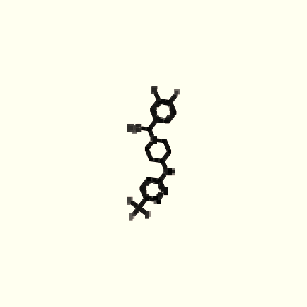 CC(c1ccc(F)c(F)c1)N1CCC(Nc2ccc(C(F)(F)F)nn2)CC1